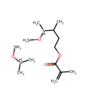 C=C(C)C(=O)OCCC(C)[SiH](C)O[SiH3].C[SiH](C)O[SiH3]